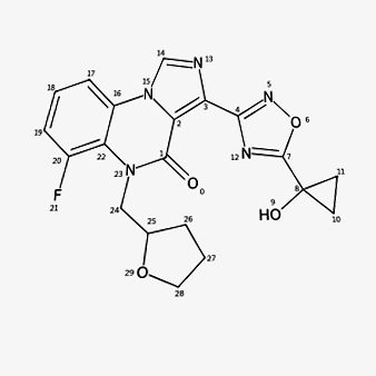 O=c1c2c(-c3noc(C4(O)CC4)n3)ncn2c2cccc(F)c2n1CC1CCCO1